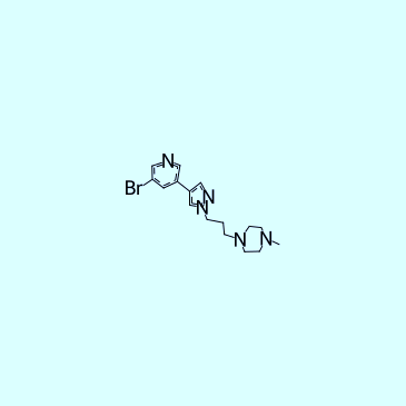 CN1CCN(CCCn2cc(-c3cncc(Br)c3)cn2)CC1